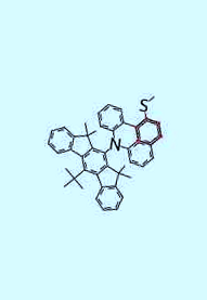 CSc1ccccc1-c1ccccc1N(c1c2c(c(C(C)(C)C)c3c1C(C)(C)c1ccccc1-3)-c1ccccc1C2(C)C)c1cccc2ccccc12